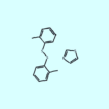 Cc1ccccc1SSc1ccccc1C.c1cscn1